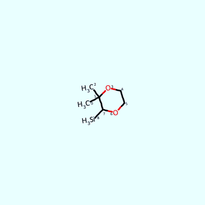 CC1(C)OCCOC1[SiH3]